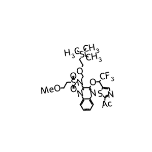 COCCS(=O)(=O)N(COCC[Si](C)(C)C)c1nc2ccccc2nc1OC(c1cnc(C(C)=O)s1)C(F)(F)F